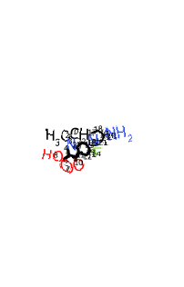 C=C(C)n1cc(C(=O)O)c(=O)c2cc(F)c(N3CCC(N)C3)cc21